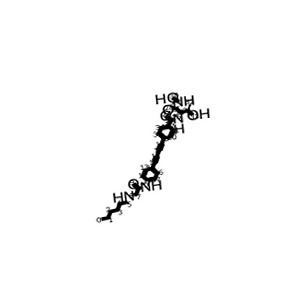 CCCCCCNCC(=O)Nc1ccc(C#CC#Cc2ccc(C(=O)N[C@H](C(=O)NO)[C@@H](C)O)cc2)cc1